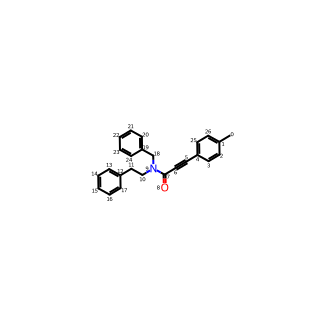 Cc1ccc(C#CC(=O)N(CCc2ccccc2)Cc2ccccc2)cc1